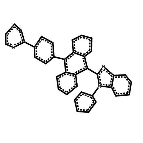 c1ccc(-n2c(-c3c4ccccc4c(-c4ccc(-c5ccccn5)cc4)c4ccccc34)nc3ccccc32)cc1